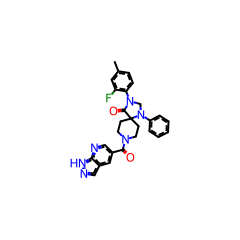 Cc1ccc(N2CN(c3ccccc3)C3(CCN(C(=O)c4cnc5[nH]ncc5c4)CC3)C2=O)c(F)c1